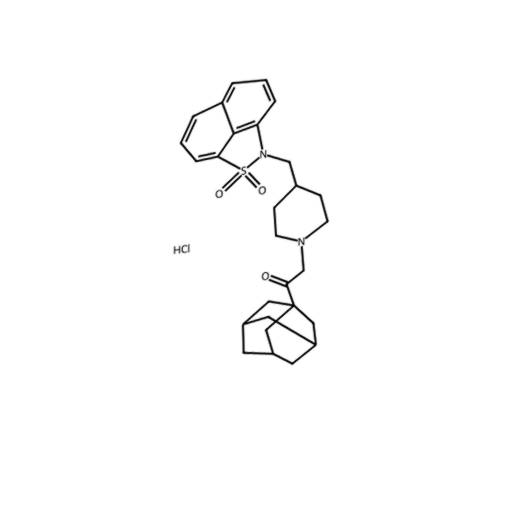 Cl.O=C(CN1CCC(CN2c3cccc4cccc(c34)S2(=O)=O)CC1)C12CC3CC(CC(C3)C1)C2